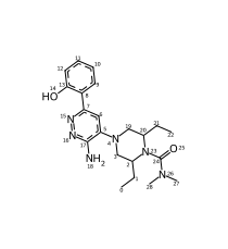 CCC1CN(c2cc(-c3ccccc3O)nnc2N)CC(CC)N1C(=O)N(C)C